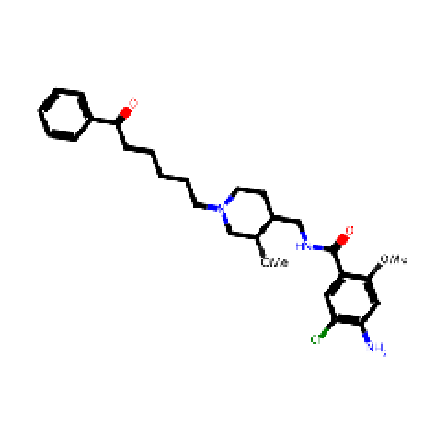 COc1cc(N)c(Cl)cc1C(=O)NCC1CCN(CCCCCC(=O)c2ccccc2)CC1OC